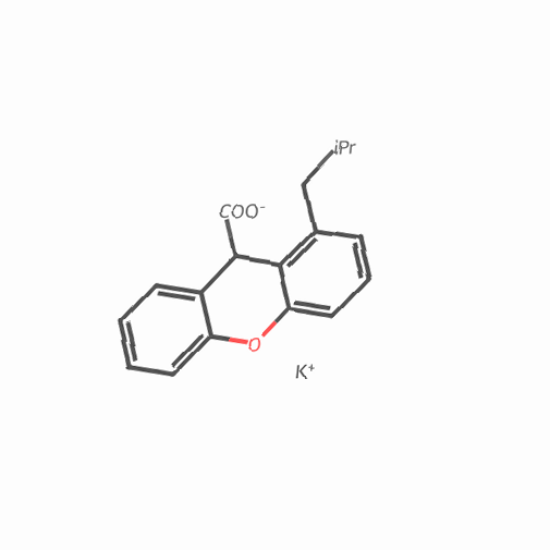 CC(C)Cc1cccc2c1C(C(=O)[O-])c1ccccc1O2.[K+]